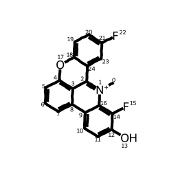 C[n+]1c2c3c(cccc3c3ccc(O)c(F)c31)Oc1ccc(F)cc1-2